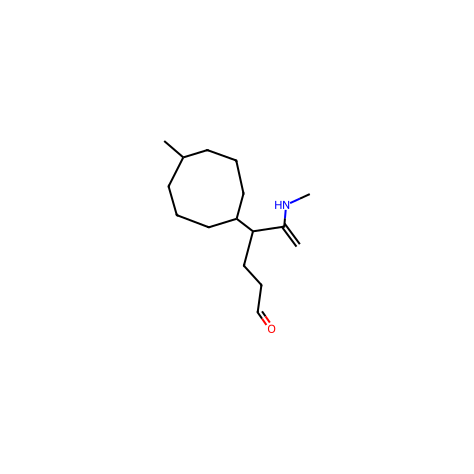 C=C(NC)C(CCC=O)C1CCCC(C)CCC1